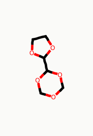 C1COC(C2OCOCO2)O1